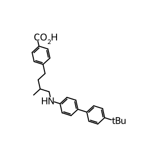 CC(CCc1ccc(C(=O)O)cc1)CNc1ccc(-c2ccc(C(C)(C)C)cc2)cc1